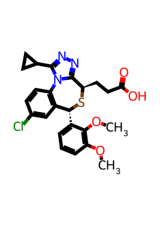 COc1cccc([C@H]2S[C@H](CCC(=O)O)c3nnc(C4CC4)n3-c3ccc(Cl)cc32)c1OC